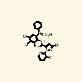 Cc1c(Cl)c(Cl)cc(N(C(=O)O)c2ccccc2)c1NC(=O)c1cc(Br)nn1-c1ncccc1Cl